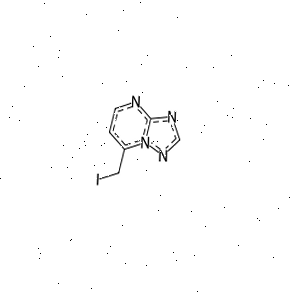 ICc1ccnc2ncnn12